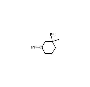 CCC1(C)CCCN(C(C)C)C1